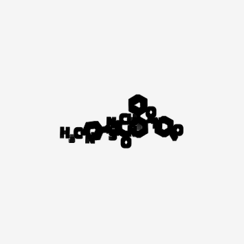 Cc1ccc(-c2nc(C)c(C(=O)N3CC[C@@H](C(=O)N4CCC5(CC4)CO5)[C@H](c4ccccc4)C3)s2)cn1